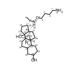 CC(NOCCCCN)[C@H]1CC[C@@]2(O)[C@@H]3CCC4CC(O)CC[C@]4(C)[C@H]3CC[C@]12C